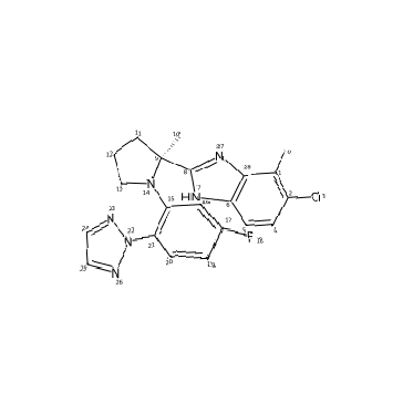 Cc1c(Cl)ccc2[nH]c([C@]3(C)CCCN3c3cc(F)c[c]c3-n3nccn3)nc12